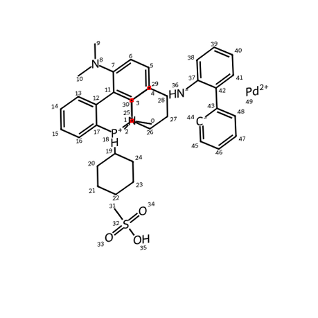 CN(C)c1cccc(N(C)C)c1-c1ccccc1[PH+](C1CCCCC1)C1CCCCC1.CS(=O)(=O)O.[NH-]c1ccccc1-c1[c-]cccc1.[Pd+2]